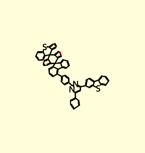 c1ccc(-c2cc(-c3ccc4c(c3)sc3ccccc34)nc(-c3ccc(-c4cccc5c4-c4ccccc4C54c5ccccc5C5(c6ccccc6Sc6ccccc65)c5ccccc54)cc3)n2)cc1